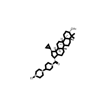 CCN1CCN(C2CCN(C(=O)[C@@H]3C[C@@H](C4CC4)[C@H]4C3CC[C@]3(C)[C@@H]4CC[C@@H]4[C@@]5(C)CC[C@H](OC(C)=O)C(C)(C)[C@@H]5CC[C@]43C)CC2)CC1